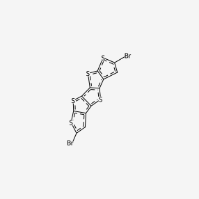 Brc1cc2c(s1)sc1c2sc2c3cc(Br)sc3sc21